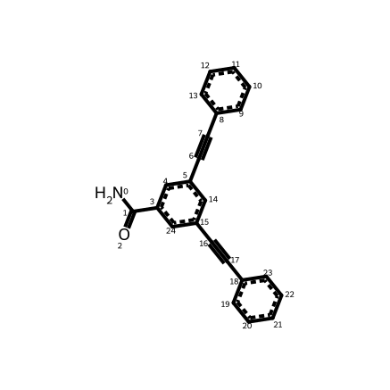 NC(=O)c1cc(C#Cc2ccccc2)cc(C#Cc2ccccc2)c1